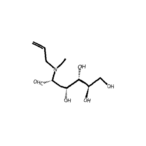 C=CCN(C)[C@@H](C=O)[C@@H](O)[C@H](O)[C@H](O)CO